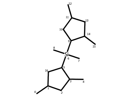 CC1CC(C)C([Si](C)(C)C2CC(C)CC2C)C1